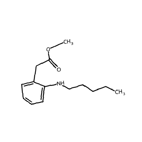 CCCCCNc1ccccc1CC(=O)OC